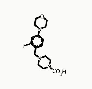 O=C(O)N1CCN(Cc2ccc(N3CCOCC3)cc2F)CC1